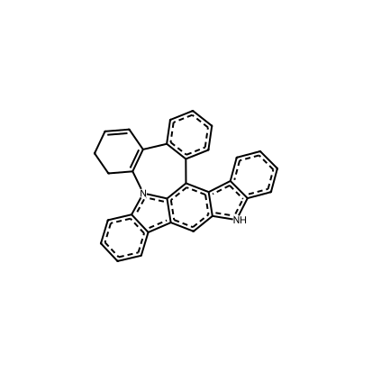 C1=CC2=C(CC1)n1c3ccccc3c3cc4[nH]c5ccccc5c4c(c31)-c1ccccc12